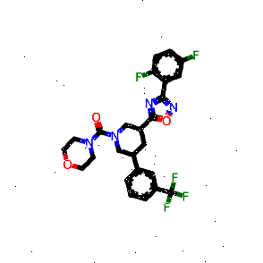 O=C(N1CCOCC1)N1CC(c2cccc(C(F)(F)F)c2)CC(c2nc(-c3cc(F)ccc3F)no2)C1